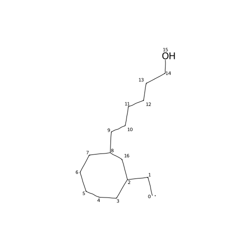 [CH2]CC1CCCCCC(CCCCCCO)C1